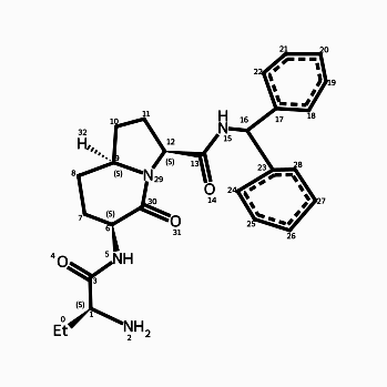 CC[C@H](N)C(=O)N[C@H]1CC[C@H]2CC[C@@H](C(=O)NC(c3ccccc3)c3ccccc3)N2C1=O